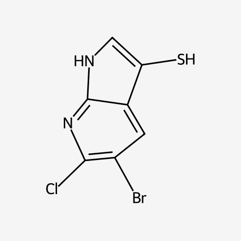 Sc1c[nH]c2nc(Cl)c(Br)cc12